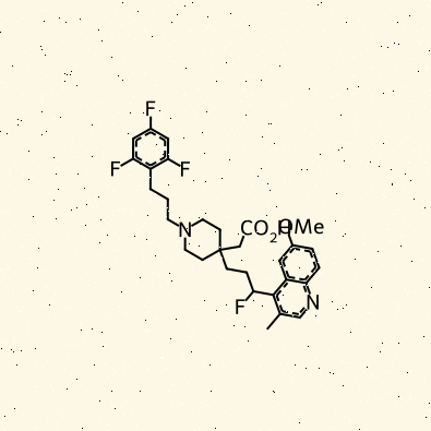 COc1ccc2ncc(C)c(C(F)CCC3(CC(=O)O)CCN(CCCc4c(F)cc(F)cc4F)CC3)c2c1